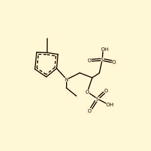 CCN(CC(CS(=O)(=O)O)OS(=O)(=O)O)c1cccc(C)c1